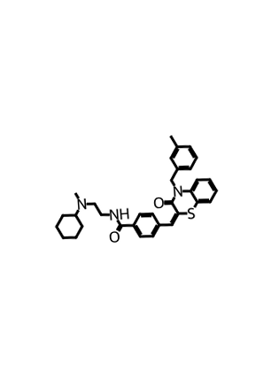 Cc1cccc(CN2C(=O)/C(=C\c3ccc(C(=O)NCCN(C)C4CCCCC4)cc3)Sc3ccccc32)c1